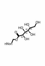 CCCCCCCCCCOC(=O)[C@H](O)[C@@H](O)[C@H](O)[C@H](O)CO